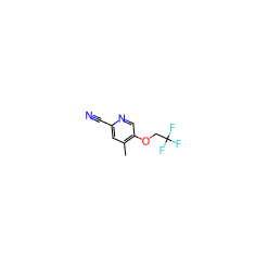 Cc1cc(C#N)ncc1OCC(F)(F)F